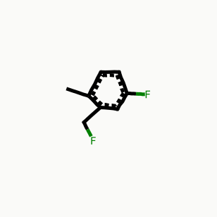 Cc1ccc(F)cc1CF